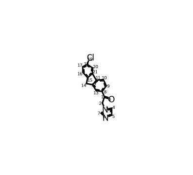 O=C(Cn1ccnc1)c1ccc2c(c1)Cc1ccc(Cl)cc1-2